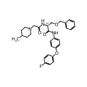 CC1CCN(CC(=O)N[C@@H](COCc2ccccc2)C(=O)Nc2ccc(Oc3ccc(F)cc3)cc2)CC1